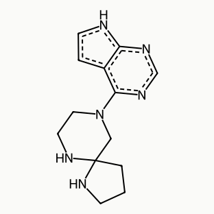 c1nc(N2CCNC3(CCCN3)C2)c2cc[nH]c2n1